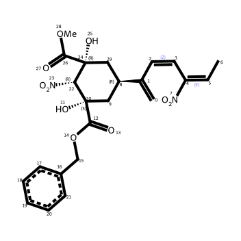 C=C(/C=C\C(=C/C)[N+](=O)[O-])[C@H]1C[C@@](O)(C(=O)OCc2ccccc2)[C@H]([N+](=O)[O-])[C@@](O)(C(=O)OC)C1